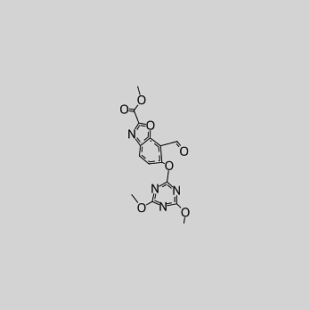 COC(=O)c1nc2ccc(Oc3nc(OC)nc(OC)n3)c(C=O)c2o1